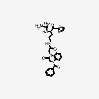 N=C(N)NC(CCCNC(=O)CN1C(=O)CN(C(=O)c2ccccc2)c2ccccc21)C(=O)c1nccs1